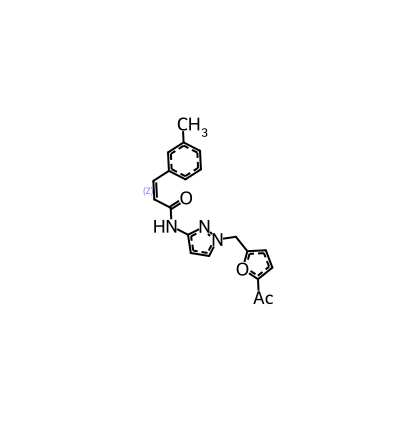 CC(=O)c1ccc(Cn2ccc(NC(=O)/C=C\c3cccc(C)c3)n2)o1